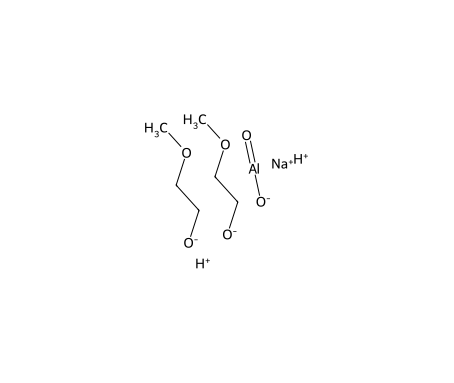 COCC[O-].COCC[O-].[H+].[H+].[Na+].[O]=[Al][O-]